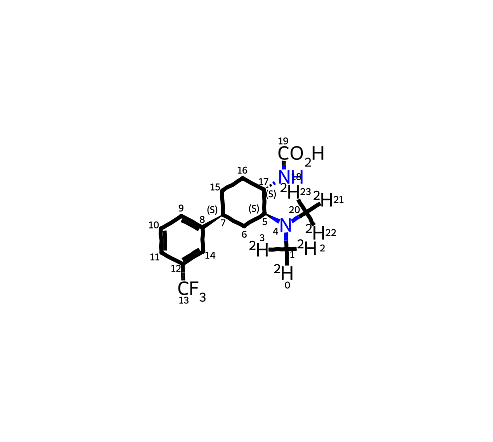 [2H]C([2H])([2H])N([C@H]1C[C@@H](c2cccc(C(F)(F)F)c2)CC[C@@H]1NC(=O)O)C([2H])([2H])[2H]